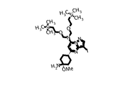 CO[C@]1(N)CC[C@H](c2cc(N(COCC[Si](C)(C)C)COCC[Si](C)(C)C)n3ncc(I)c3n2)CC1